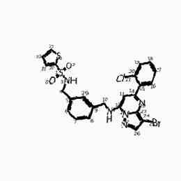 O=S(=O)(NCc1cccc(CNc2cc(-c3ccccc3Cl)nc3c(Br)cnn23)c1)c1cccs1